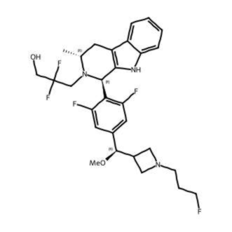 CO[C@@H](c1cc(F)c([C@@H]2c3[nH]c4ccccc4c3C[C@@H](C)N2CC(F)(F)CO)c(F)c1)C1CN(CCCF)C1